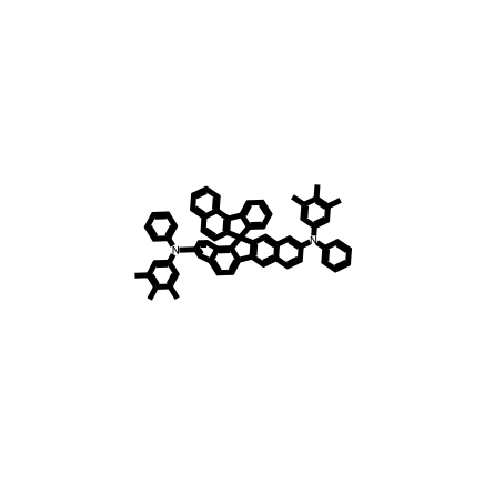 Cc1cc(N(c2ccccc2)c2ccc3cc4c(cc3c2)C2(c3ccccc3-c3c2ccc2ccccc32)c2c-4ccc3cc(N(c4ccccc4)c4cc(C)c(C)c(C)c4)ccc23)cc(C)c1C